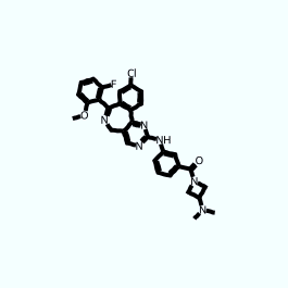 COc1cccc(F)c1C1=NCc2cnc(Nc3cccc(C(=O)N4CC(N(C)C)C4)c3)nc2-c2ccc(Cl)cc21